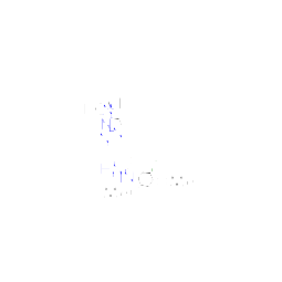 COc1cc(OC)c(NC(=S)NC2CCC(Nc3nccc(N(C)C)n3)CC2)cc1Cl